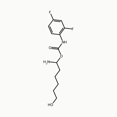 NC(CCCCCO)OC(=O)Nc1ccc(F)cc1F